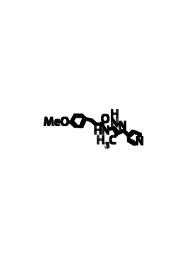 COc1ccc(CCC(=O)Nc2[nH]nc(-c3ccncc3)c2C)cc1